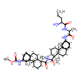 CC(NC(=O)C(N)CCC(=O)O)C(=O)Nc1ccc2c(c1)[C@@]1(C)CCC[C@](C)(C(=O)NC(=O)[C@@]3(C)CCC[C@]4(C)c5cc(NC(=O)OC(C)(C)C)ccc5CC[C@@H]34)[C@@H]1CC2